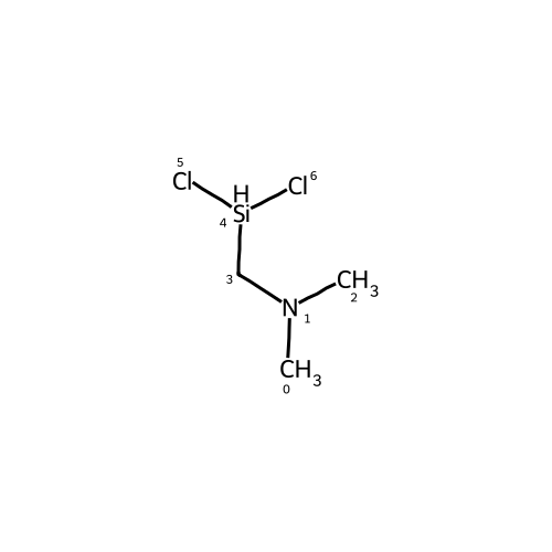 CN(C)C[SiH](Cl)Cl